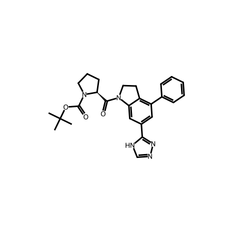 CC(C)(C)OC(=O)N1CCC[C@H]1C(=O)N1CCc2c(-c3ccccc3)cc(-c3nnc[nH]3)cc21